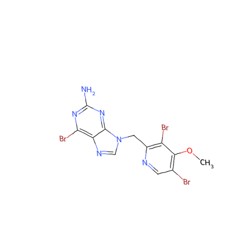 COc1c(Br)cnc(Cn2cnc3c(Br)nc(N)nc32)c1Br